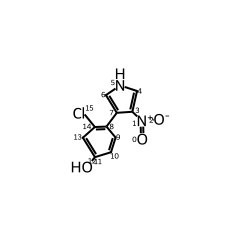 O=[N+]([O-])c1c[nH]cc1-c1ccc(O)cc1Cl